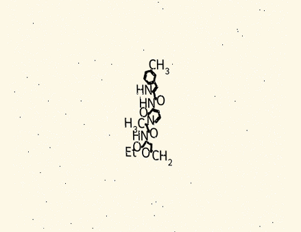 C=C1CC(NC(=O)C(C)n2cccc(NC(=O)c3cc4cc(C)ccc4[nH]3)c2=O)C(OCC)O1